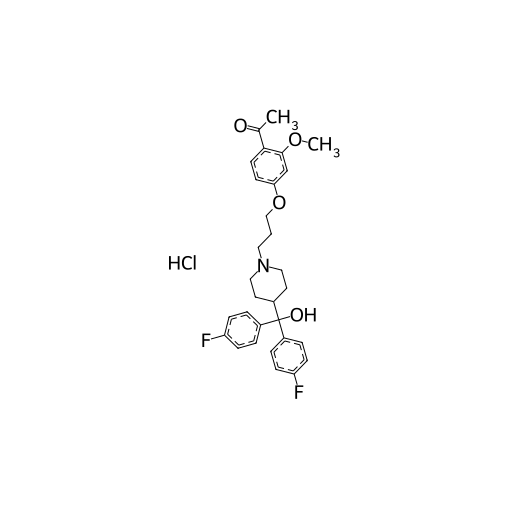 COc1cc(OCCCN2CCC(C(O)(c3ccc(F)cc3)c3ccc(F)cc3)CC2)ccc1C(C)=O.Cl